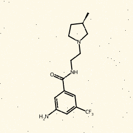 C[C@@H]1CCN(CCNC(=O)c2cc(N)cc(C(F)(F)F)c2)C1